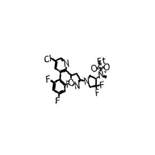 C=[N+]([C@@H]1CN(C2=NOC(c3ncc(Cl)cc3-c3c(F)cc(F)cc3F)C2)CC1(F)F)S(=O)(=O)CC